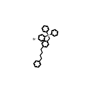 [Br-].c1ccc(CCCCc2ccc(C[P+](c3ccccc3)(c3ccccc3)c3ccccc3)cc2)cc1